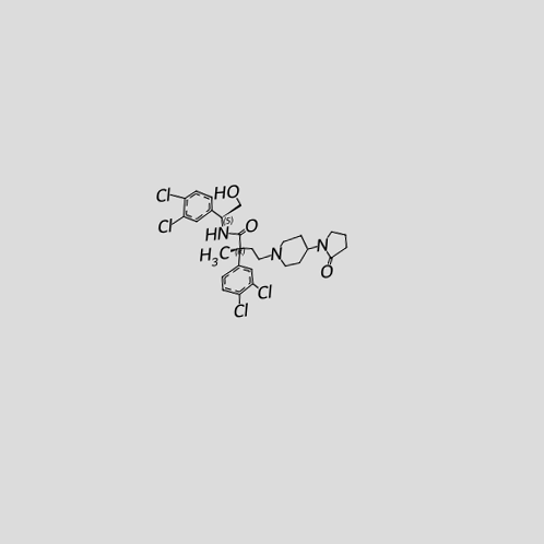 C[C@](CCN1CCC(N2CCCC2=O)CC1)(C(=O)N[C@H](CO)c1ccc(Cl)c(Cl)c1)c1ccc(Cl)c(Cl)c1